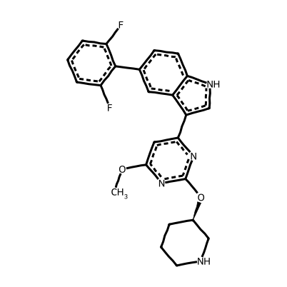 COc1cc(-c2c[nH]c3ccc(-c4c(F)cccc4F)cc23)nc(O[C@@H]2CCCNC2)n1